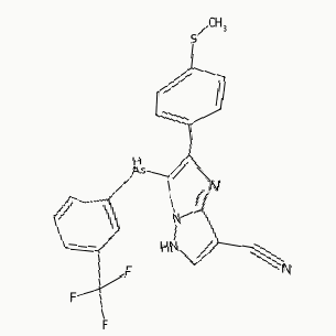 CSc1ccc(-c2nc3c(C#N)c[nH]n3c2[AsH]c2cccc(C(F)(F)F)c2)cc1